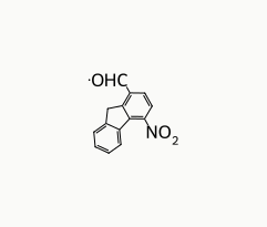 O=[C]c1ccc([N+](=O)[O-])c2c1Cc1ccccc1-2